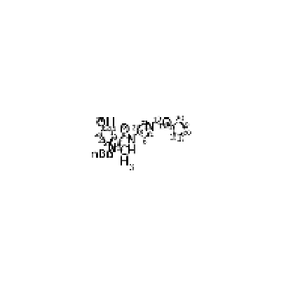 CCCCn1c(C)c(C(=O)NC2CCN(CCOc3ccccc3)CC2)c2cc(O)ccc21